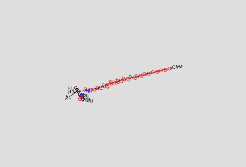 CCCCN1C(=CC=CC2=[N+](CCCCCC(=O)NCCOCCOCCOCCOCCOCCOCCOCCOCCOCCOCCOCCOCCOCCOCCOCCOCCOCCOCCOCCOCCOCCOCCOCCOC)c3ccc(C)cc3C2(C)CCCCCC(C)=O)Oc2ccc(C(C)(C)C)cc21